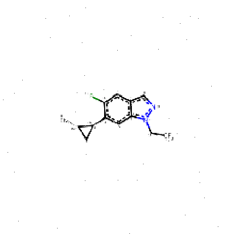 CC[C@H]1C[C@@H]1c1cc2c(cnn2CC(F)(F)F)cc1F